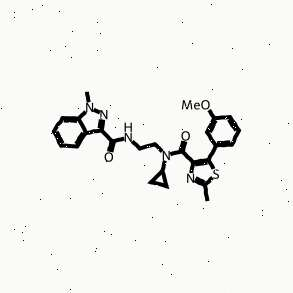 COc1cccc(-c2sc(C)nc2C(=O)N(CCNC(=O)c2nn(C)c3ccccc23)C2CC2)c1